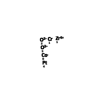 [Co].[Cr].[O-2].[O-2].[Pt].[Zr+4]